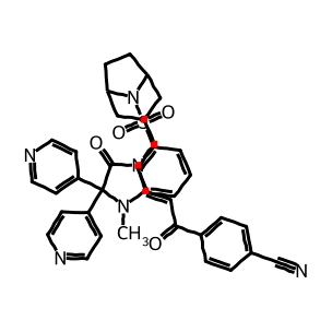 CN1C(=CC(=O)c2ccc(C#N)cc2)N(CC2CC3CCC(C2)N3S(=O)(=O)c2ccccc2)C(=O)C1(c1ccncc1)c1ccncc1